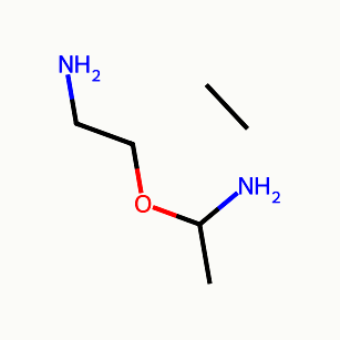 CC.CC(N)OCCN